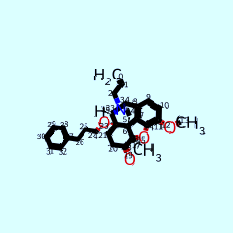 C=CCN1CC[C@]23c4c5ccc(OC)c4OC2(C)C(=O)CC[C@@]3(OCCCc2ccccc2)[C@H]1C5